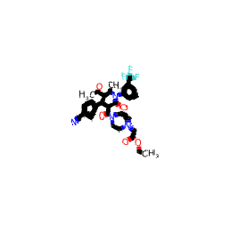 CCOC(=O)CN1CCN(C(=O)C2C(=O)N(c3cccc(C(F)(F)F)c3)C(C)=C(C(C)=O)C2c2ccc(C#N)cc2)CC1